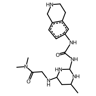 CC1CC(NCC(=O)N(C)C)NC(NC(=O)Nc2ccc3c(c2)CCNC3)N1